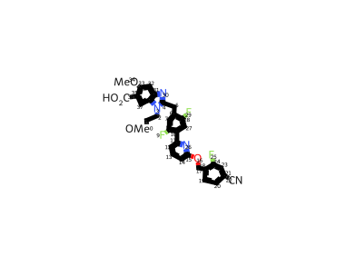 COCCn1c(Cc2cc(F)c(-c3cccc(OCc4ccc(C#N)cc4F)n3)cc2F)nc2cc(OC)c(C(=O)O)cc21